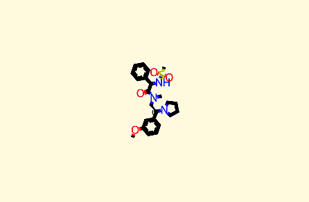 COc1cccc([C@@H](CN(C)C(=O)C(NS(C)(=O)=O)c2ccccc2)N2CCCC2)c1